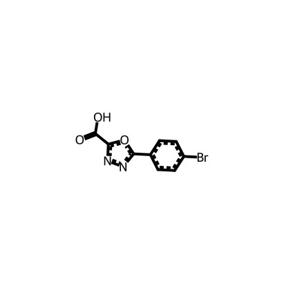 O=C(O)c1nnc(-c2ccc(Br)cc2)o1